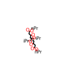 CCCOC(=O)CC(=O)[CH2][Zr]([CH2]C(=O)CC(=O)OCCC)([O]C(C)C)[O]C(C)C